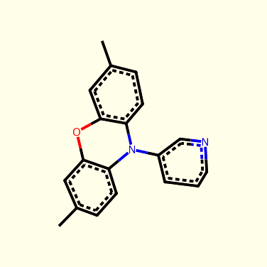 Cc1ccc2c(c1)Oc1cc(C)ccc1N2c1cccnc1